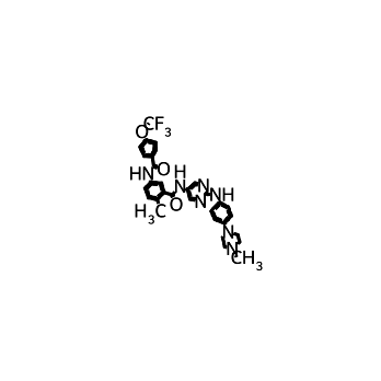 Cc1ccc(NC(=O)c2ccc(OC(F)(F)F)cc2)cc1C(=O)Nc1cnc(Nc2ccc(N3CCN(C)CC3)cc2)nc1